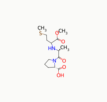 COC(=O)C(CCSC)N[C@@H](C)C(=O)N1CCC[C@H]1C(=O)O